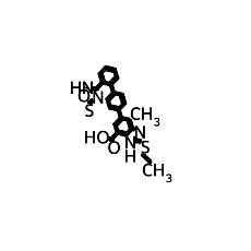 CCCSc1nc2c(C)c(-c3ccc(-c4ccccc4-c4nc(=S)o[nH]4)cc3)cc(C(=O)O)c2[nH]1